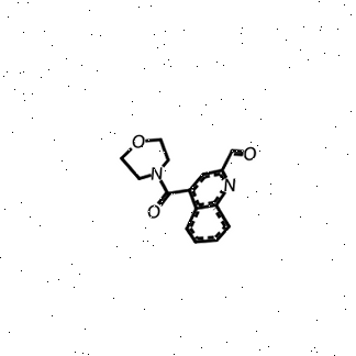 O=Cc1cc(C(=O)N2CCOCC2)c2ccccc2n1